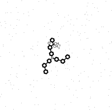 CC1(C)c2ccccc2Oc2ccc(-c3ccc(N(c4ccc(-c5cccc(-c6ccccc6)c5)cc4)c4ccc(-c5cccc(-c6ccccc6)c5)cc4)cc3)cc21